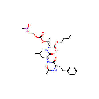 CCCCOC(=O)[C@@H](NC(=O)[C@H](CC(C)C)NC(=O)[C@H](CCc1ccccc1)NC(C)=O)[C@@H](C)OC(=O)OCO[PH](C)=O